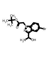 CC(C)(C)OC(=O)Cn1nc(C(N)O)c2cc(Br)ccc21